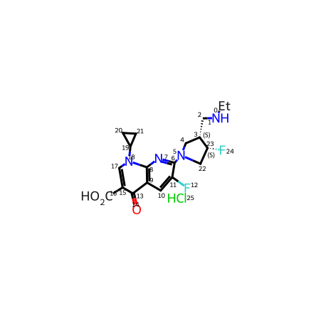 CCNC[C@H]1CN(c2nc3c(cc2F)c(=O)c(C(=O)O)cn3C2CC2)C[C@H]1F.Cl